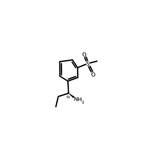 CC[C@H](N)c1cccc(S(C)(=O)=O)c1